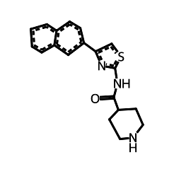 O=C(Nc1nc(-c2ccc3ccccc3c2)cs1)C1CCNCC1